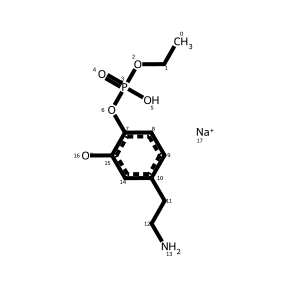 CCOP(=O)(O)Oc1ccc(CCN)cc1[O-].[Na+]